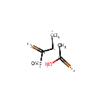 CC(O)=S.COC(=S)CC(Cl)(Cl)Cl